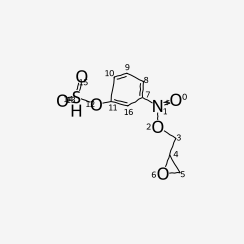 O=[N+](OCC1CO1)c1cccc(O[SH](=O)=O)c1